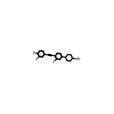 CCCC1CCC(c2ccc(C#Cc3ccc(F)c(F)c3)c(F)c2)CC1